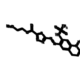 CCCN1CCCc2cc(N=Nc3nnc(C(=O)OCCOC)s3)c(NS(=O)(=O)C(F)(F)F)cc21